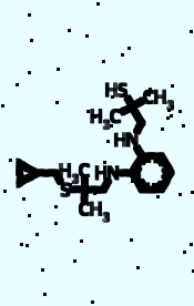 CC(C)(S)CNc1ccccc1NCC(C)(C)SCC1CC1